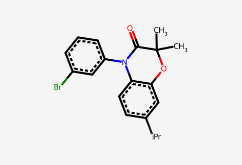 CC(C)c1ccc2c(c1)OC(C)(C)C(=O)N2c1cccc(Br)c1